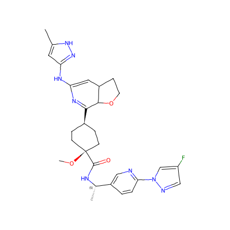 CO[C@]1(C(=O)N[C@@H](C)c2ccc(-n3cc(F)cn3)nc2)CC[C@H](C2=NC(Nc3cc(C)[nH]n3)=CC3CCOC23)CC1